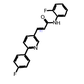 O=C(/C=C/c1ccc(-c2ccc(F)cc2)nc1)Nc1ccccc1F